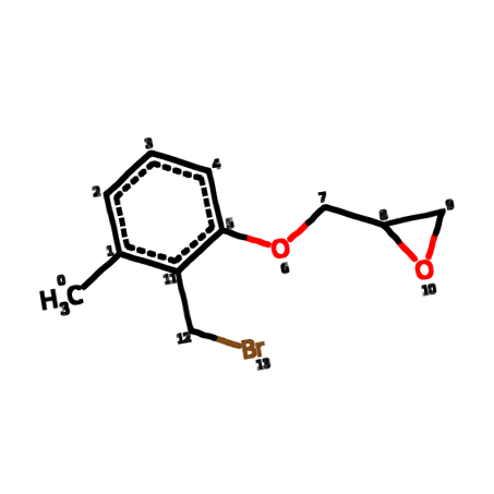 Cc1cccc(OCC2CO2)c1CBr